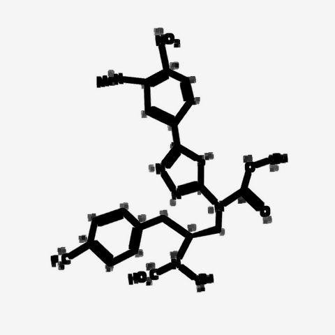 CNc1cc(-c2nnc(N(C[C@H](Cc3ccc(C(F)(F)F)cc3)N(C(=O)O)C(C)(C)C)C(=O)OC(C)(C)C)s2)ccc1[N+](=O)[O-]